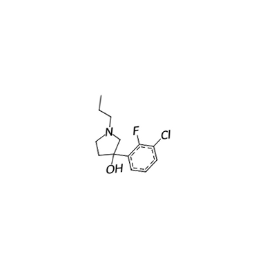 CCCN1CCC(O)(c2cccc(Cl)c2F)C1